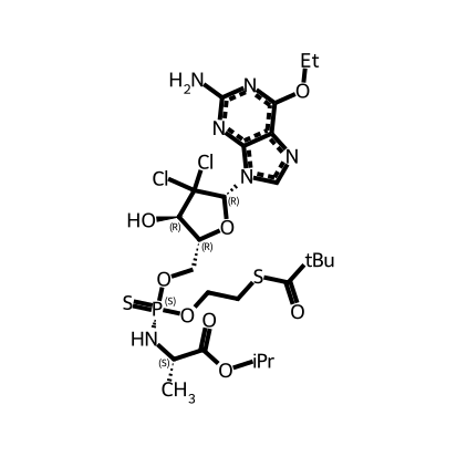 CCOc1nc(N)nc2c1ncn2[C@@H]1O[C@H](CO[P@@](=S)(N[C@@H](C)C(=O)OC(C)C)OCCSC(=O)C(C)(C)C)[C@@H](O)C1(Cl)Cl